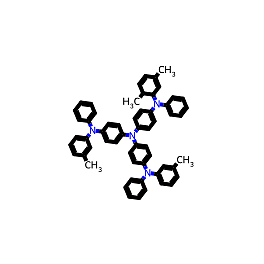 CC1=CC(N(c2ccccc2)c2ccc(N(c3ccc(N(c4ccccc4)c4cccc(C)c4)cc3)c3ccc(N(c4ccccc4)c4cccc(C)c4)cc3)cc2)C(C)C=C1